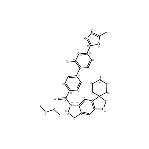 COCC[C@H]1Cc2cc3c(cc2N1C(=O)c1ccc(-c2ccc(-c4nnc(C)o4)cc2C)cc1)C1(CCNCC1)CO3